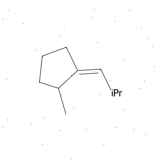 CC(C)C=C1CCCC1C